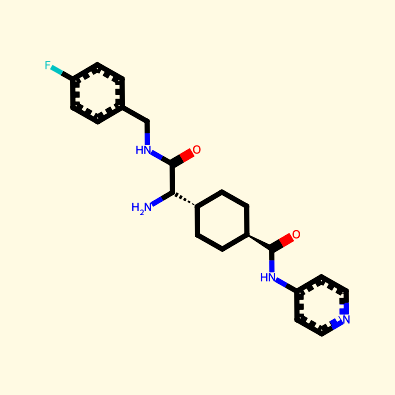 NC(C(=O)NCc1ccc(F)cc1)[C@H]1CC[C@H](C(=O)Nc2ccncc2)CC1